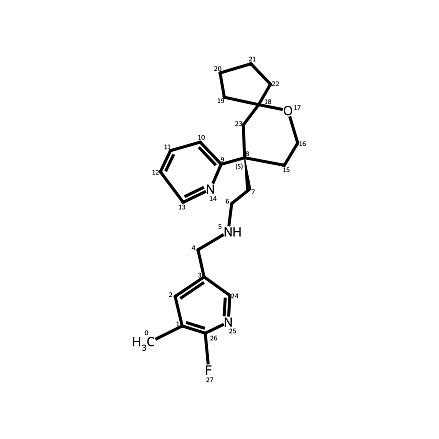 Cc1cc(CNCC[C@]2(c3ccccn3)CCOC3(CCCC3)C2)cnc1F